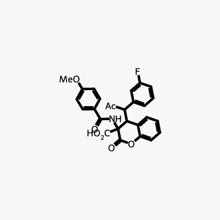 COc1ccc(C(=O)NC2(C(=O)O)C(=O)Oc3ccccc3C2C(C(C)=O)c2cccc(F)c2)cc1